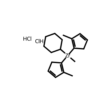 CC1=[C]([Zr]([CH3])([C]2=C(C)C=CC2)[CH]2CCCCC2)CC=C1.Cl.Cl